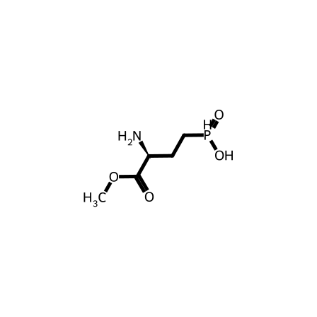 COC(=O)[C@@H](N)CC[PH](=O)O